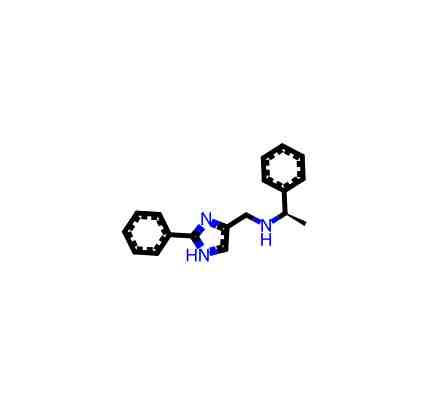 C[C@@H](NCc1c[nH]c(-c2ccccc2)n1)c1ccccc1